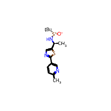 Cc1ccc(-c2ncc([C@H](C)N[S@+]([O-])C(C)(C)C)s2)cn1